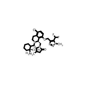 CC1CC(=O)N(C[C@@H]2c3c(OCc4nnn(C)c4C(F)F)ccc(Cl)c3CCN2C(=O)C2CCCC[C@]2(C)C(=O)O)C1